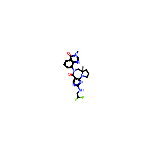 Cn1cnc2c(N3C[C@@H]4CCCN4c4nc(NCC(F)F)ncc4C3=O)cccc2c1=O